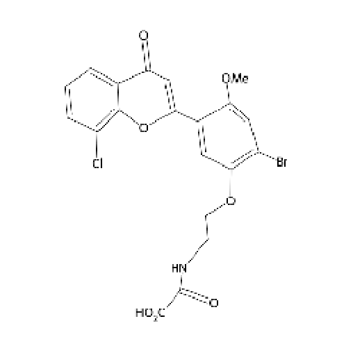 COc1cc(Br)c(OCCNC(=O)C(=O)O)cc1-c1cc(=O)c2cccc(Cl)c2o1